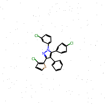 Clc1ccc(-c2c(-c3ccccc3)c(-c3sccc3Cl)nn2-c2cccc(Cl)c2)cc1